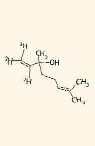 [2H]C([2H])=C([2H])C(C)(O)CCC=C(C)C